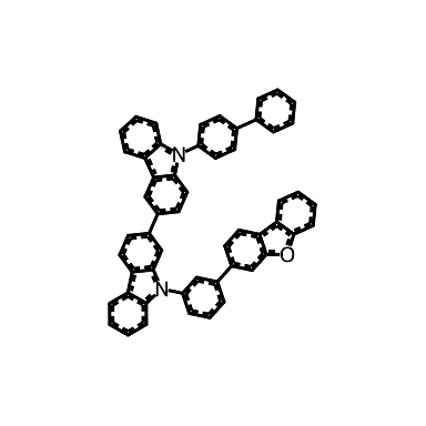 c1ccc(-c2ccc(-n3c4ccccc4c4cc(-c5ccc6c7ccccc7n(-c7cccc(-c8ccc9c(c8)oc8ccccc89)c7)c6c5)ccc43)cc2)cc1